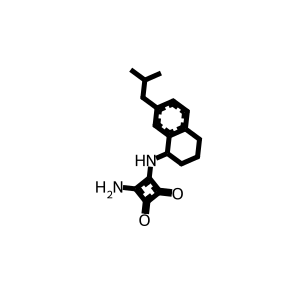 CC(C)Cc1ccc2c(c1)C(Nc1c(N)c(=O)c1=O)CCC2